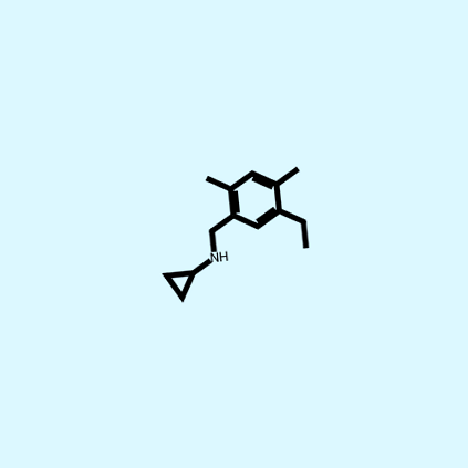 CCc1cc(CNC2CC2)c(C)cc1C